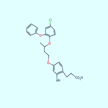 CCCc1cc(OCCC(C)Oc2ccc(Cl)cc2Oc2ccccc2)ccc1CCC(=O)O